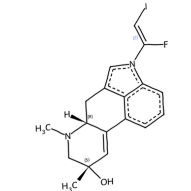 CN1C[C@@](C)(O)C=C2c3cccc4c3c(cn4/C(F)=C/I)C[C@H]21